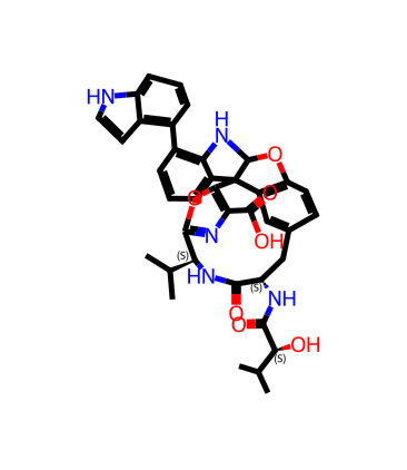 CC(C)[C@H](O)C(=O)N[C@H]1Cc2ccc3c(c2)C2(c4cccc(-c5cccc6[nH]ccc56)c4NC2O3)c2oc(nc2C(=O)O)[C@H](C(C)C)NC1=O